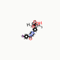 CC(C)(Oc1cccc(N2CCN(C(=O)c3ccc(I)cc3)CC2)c1)C(=O)O